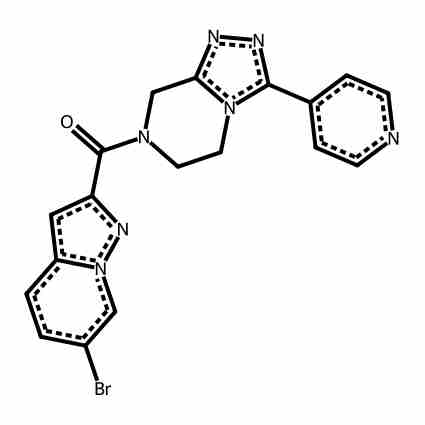 O=C(c1cc2ccc(Br)cn2n1)N1CCn2c(nnc2-c2ccncc2)C1